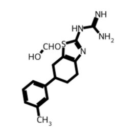 Cc1cccc(C2CCc3nc(NC(=N)N)sc3C2)c1.O=CO